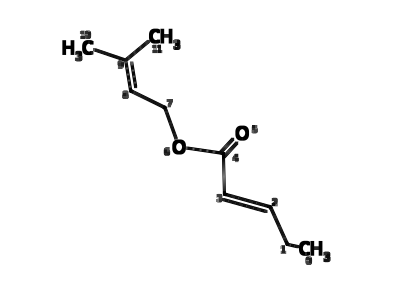 CCC=CC(=O)OCC=C(C)C